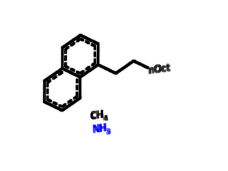 C.CCCCCCCCCCc1cccc2ccccc12.N